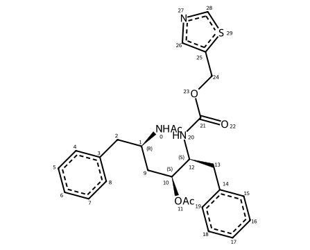 CC(=O)N[C@H](Cc1ccccc1)C[C@H](OC(C)=O)[C@H](Cc1ccccc1)NC(=O)OCc1cncs1